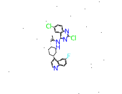 C[C@H](C[C@H]1CC[C@H](c2ccnc3ccc(F)cc32)CC1)Nc1nc(Cl)nc2ccc(Cl)cc12